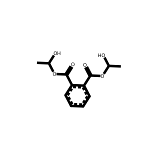 CC(O)OC(=O)c1ccccc1C(=O)OC(C)O